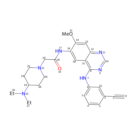 C#Cc1cccc(Nc2ncnc3cc(OC)c(NC(=O)CN4CCC(N(CC)CC)CC4)cc23)c1